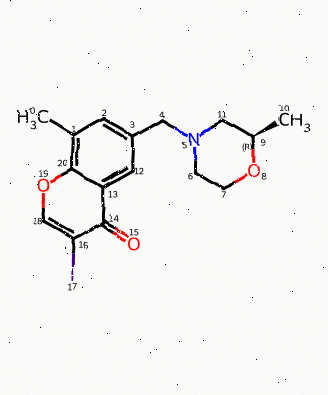 Cc1cc(CN2CCO[C@H](C)C2)cc2c(=O)c(I)coc12